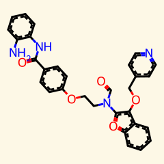 Nc1ccccc1NC(=O)c1ccc(OCCN(C=O)c2oc3ccccc3c2OCc2ccncc2)cc1